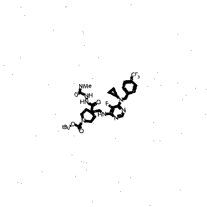 CNC(=O)NNC(=O)C1(CNc2ncnc(N(Cc3ccc(C(F)(F)F)cc3)C3CC3)c2F)CCN(C(=O)OC(C)(C)C)CC1